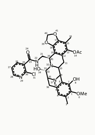 COc1c(C)cc2c(c1O)C1C3Cc4c(OC(C)=O)c(C)c5c(c4[C@H](CNC(=O)c4cccnc4Cl)N3[C@@H](O)C(C2)N1C)OCO5